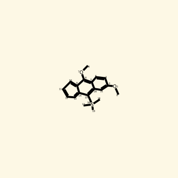 COc1ccc2c(OC)c3ccccc3c(S(C)(C)C)c2c1